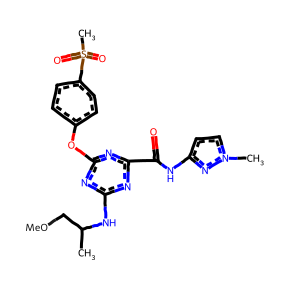 COCC(C)Nc1nc(Oc2ccc(S(C)(=O)=O)cc2)nc(C(=O)Nc2ccn(C)n2)n1